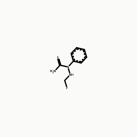 NC(=S)N(NCF)c1ccccc1